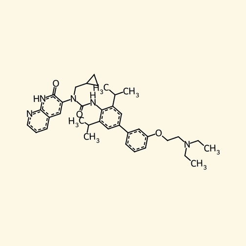 CCN(CC)CCOc1cccc(-c2cc(C(C)C)c(NC(=O)N(CC3CC3)c3cc4cccnc4[nH]c3=O)c(C(C)C)c2)c1